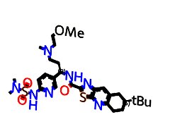 COCCN(C)CC[C@@H](NC(=O)c1nc2cc3c(nc2s1)CC[C@H](C(C)(C)C)C3)c1ccc(NS(=O)(=O)N(C)C)nc1